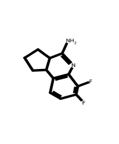 NC1=Nc2c(ccc(F)c2F)C2CCCC12